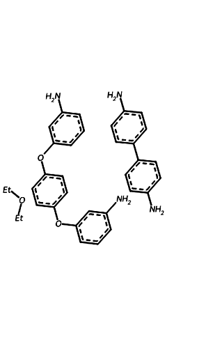 CCOCC.Nc1ccc(-c2ccc(N)cc2)cc1.Nc1cccc(Oc2ccc(Oc3cccc(N)c3)cc2)c1